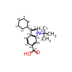 CC(C)(C)n1cc(C2CCCCC2)c2ccc(C(=O)O)cc21